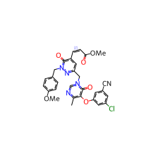 COC(=O)/C=C\c1cc(Cn2cnc(C)c(Oc3cc(Cl)cc(C#N)c3)c2=O)nn(Cc2ccc(OC)cc2)c1=O